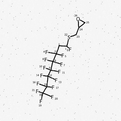 FC(CC(F)(F)C(F)(F)C(F)(F)C(F)(F)C(F)(F)C(F)(F)F)SCC1CO1